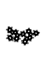 c1ccc(-n2c3ccccc3c3c2ccc2c4ccccc4n(-c4cccc(-n5c6ccccc6c6c5ccc5c7ccccc7n(-c7ccccc7)c56)n4)c23)cc1